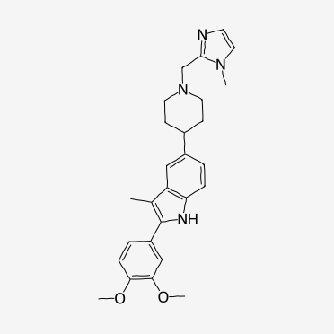 COc1ccc(-c2[nH]c3ccc(C4CCN(Cc5nccn5C)CC4)cc3c2C)cc1OC